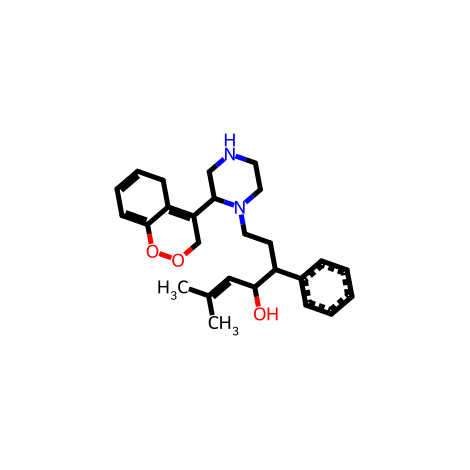 CC(C)=CC(O)C(CCN1CCNCC1C1=C2CC=CC=C2OOC1)c1ccccc1